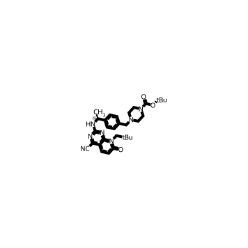 C[C@H](Nc1nc(C#N)c2ccc(=O)n(CC(C)(C)C)c2n1)c1ccc(CN2CCN(C(=O)OC(C)(C)C)CC2)cc1